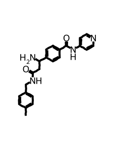 Cc1ccc(CNC(=O)CC(N)c2ccc(C(=O)Nc3ccncc3)cc2)cc1